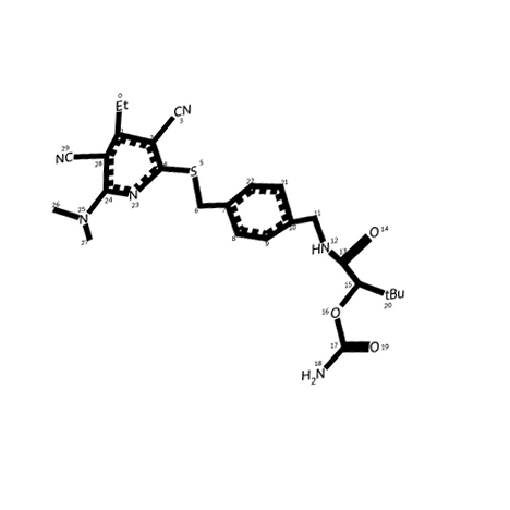 CCc1c(C#N)c(SCc2ccc(CNC(=O)C(OC(N)=O)C(C)(C)C)cc2)nc(N(C)C)c1C#N